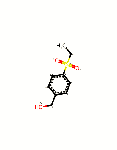 CCS(=O)(=O)c1ccc(CO)cc1